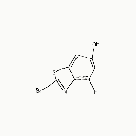 Oc1cc(F)c2nc(Br)sc2c1